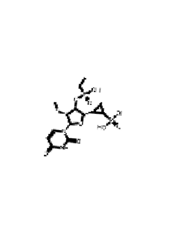 CCP(=O)(O)O[C@@H]1[C@H](OC)[C@H](n2ccc(=O)[nH]c2=O)O[C@@H]1C1CC1P(=O)(O)O